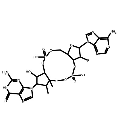 CC1C(n2cnc3c(=O)[nH]c(N)nc32)C(O)C2OP(=O)(O)OCC3OC(n4cnc5c(N)ncnc54)C(F)C3OP(=O)(S)OCC12C